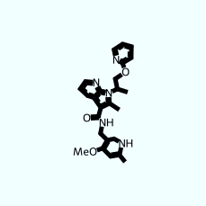 COC1=C(CNC(=O)c2c(C)n(C(C)COc3ccccn3)c3ncccc23)CNC(C)=C1